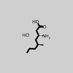 CCC[C@H](C)C[C@@H](N)CC(=O)O.Cl